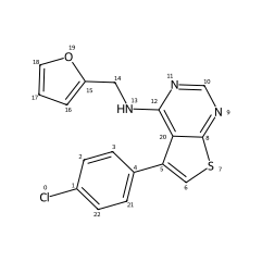 Clc1ccc(-c2csc3ncnc(NCc4ccco4)c23)cc1